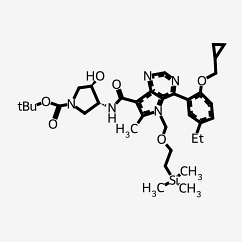 CCc1ccc(OCC2CC2)c(-c2ncnc3c(C(=O)N[C@@H]4CN(C(=O)OC(C)(C)C)C[C@H]4O)c(C)n(COCC[Si](C)(C)C)c23)c1